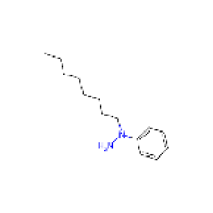 CCCCCCCCN(N)c1ccccc1